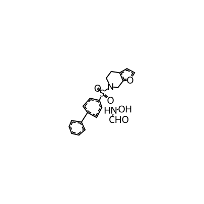 O=CNO.O=S(=O)(c1ccc(-c2ccccc2)cc1)N1CCc2ccoc2C1